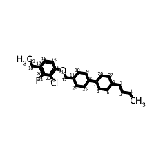 CCCCC1CCC(C2CCC(COc3ccc(CC)c(F)c3Cl)CC2)CC1